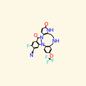 N#Cc1cc2c(cc1F)C(=O)N1CN2c2ccc(OC(F)(F)F)cc2CNCCc2[nH]c(=O)ccc21